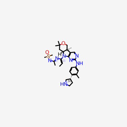 C/C=C(\N=C(/C)N=S(C)(C)=O)N1c2nc(Nc3ccc([C@@H]4CCNC4)c(C)c3)ncc2[C@]2(C)COC(C)(C)C[C@H]12